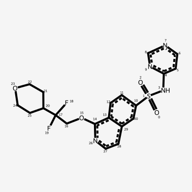 O=S(=O)(Nc1ccncn1)c1ccc2c(OCC(F)(F)C3CCOCC3)nccc2c1